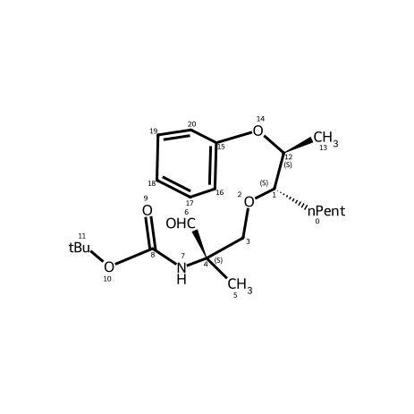 CCCCC[C@H](OC[C@@](C)(C=O)NC(=O)OC(C)(C)C)[C@H](C)Oc1ccccc1